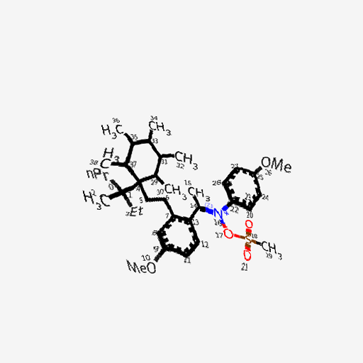 CCCC(C)(CC)C1(CCc2cc(OC)ccc2/C(C)=[N+](\OS(C)(=O)=O)c2ccc(OC)cc2)C(C)C(C)C(C)C(C)C1C